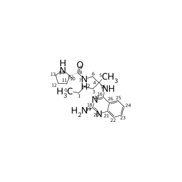 CCCCC(C)(CNC(=O)[C@@H]1CCCN1)Nc1nc(N)nc2ccccc12